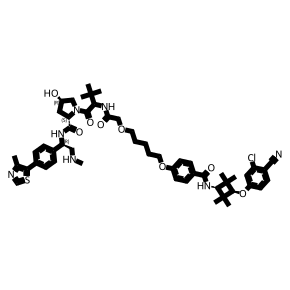 CNC[C@H](NC(=O)[C@@H]1C[C@@H](O)CN1C(=O)C(NC(=O)COCCCCCOc1ccc(C(=O)N[C@H]2C(C)(C)[C@H](Oc3ccc(C#N)c(Cl)c3)C2(C)C)cc1)C(C)(C)C)c1ccc(-c2scnc2C)cc1